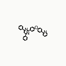 c1ccc(-c2cc(-c3ccccc3)nc(-c3ccc(Oc4ccc(-c5ccccn5)cc4)cc3)n2)cc1